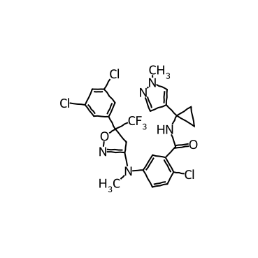 CN(C1=NOC(c2cc(Cl)cc(Cl)c2)(C(F)(F)F)C1)c1ccc(Cl)c(C(=O)NC2(c3cnn(C)c3)CC2)c1